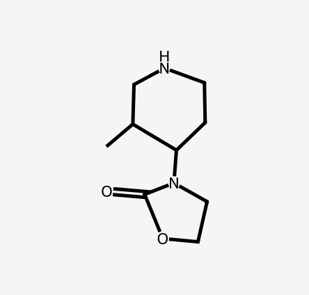 CC1CNCCC1N1CCOC1=O